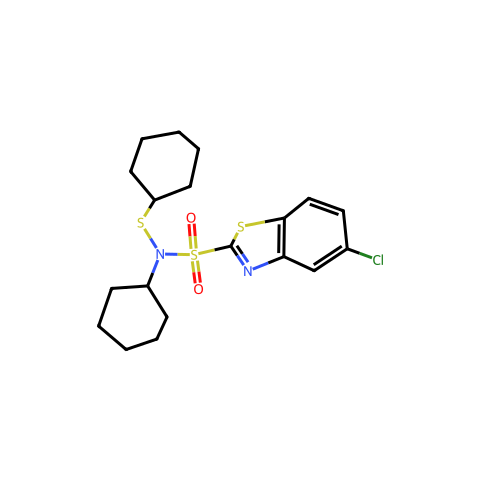 O=S(=O)(c1nc2cc(Cl)ccc2s1)N(SC1CCCCC1)C1CCCCC1